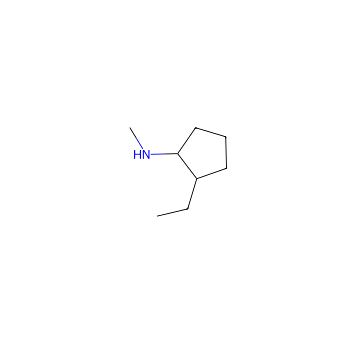 CCC1CCCC1NC